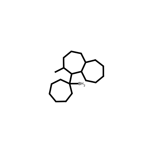 BC1(C2C(C)CCCC3CCCCCC32)CCCCCC1